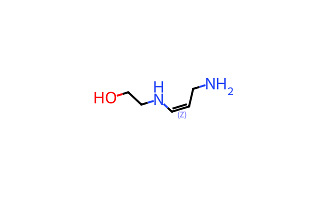 NC/C=C\NCCO